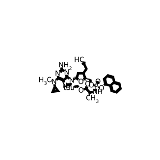 C#CCC1C[C@H](n2cnc3c(N(C)C4CC4)nc(N)nc32)O[C@@H]1COP(=O)(N[C@H](C)C(=O)OCC(C)(C)C)Oc1cccc2ccccc12